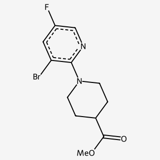 COC(=O)C1CCN(c2ncc(F)cc2Br)CC1